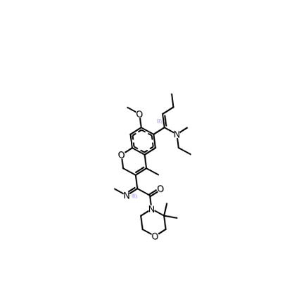 CC/C=C(/c1cc2c(cc1OC)OCC(/C(=N\C)C(=O)N1CCOCC1(C)C)=C2C)N(C)CC